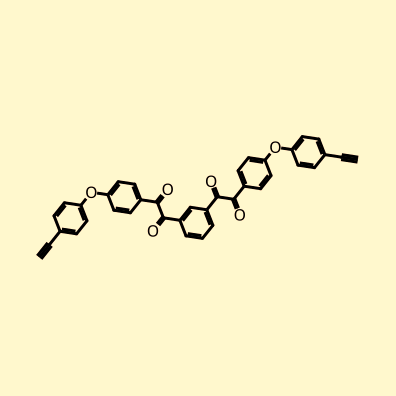 C#Cc1ccc(Oc2ccc(C(=O)C(=O)c3cccc(C(=O)C(=O)c4ccc(Oc5ccc(C#C)cc5)cc4)c3)cc2)cc1